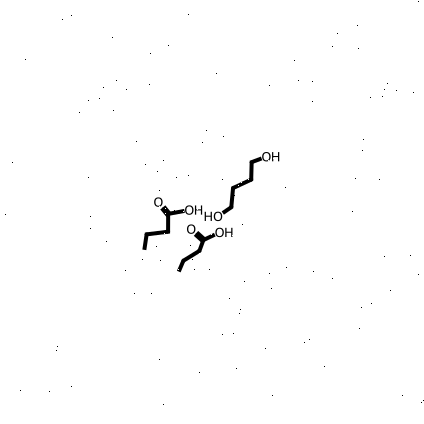 CCCC(=O)O.CCCC(=O)O.OCCCCO